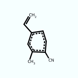 C=Cc1ccc(C#N)c(C)c1